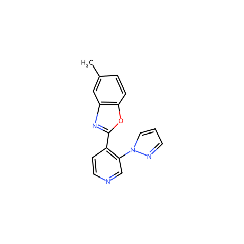 Cc1ccc2oc(-c3ccncc3-n3cccn3)nc2c1